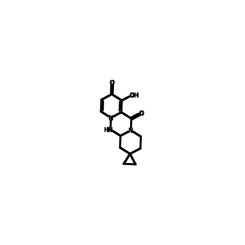 O=C1c2c(O)c(=O)ccn2NC2CC3(CCN12)CC3